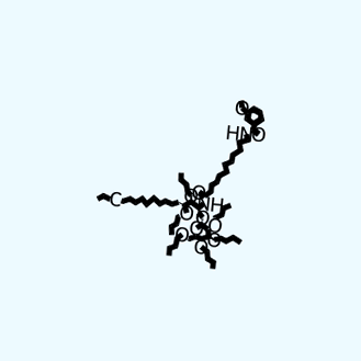 CCCCCCCCCCCCCC[C@@H](OCCCC)[C@@H](OCCCC)[C@H](CO[C@H]1OC(COCCCC)[C@H](OCCCC)[C@H](OCCCC)C1OCCCC)NC(=O)CCCCCCCCCCCNC(=O)c1cccc(OC)c1